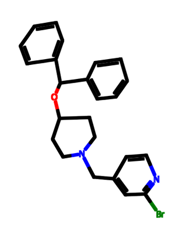 Brc1cc(CN2CCC(OC(c3ccccc3)c3ccccc3)CC2)ccn1